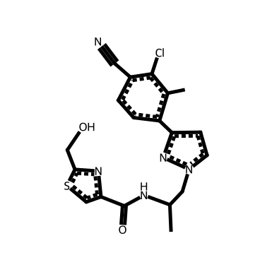 Cc1c(-c2ccn(CC(C)NC(=O)c3csc(CO)n3)n2)ccc(C#N)c1Cl